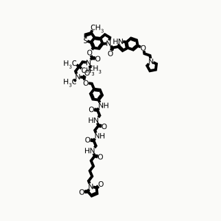 Cc1csc2c(OC(=O)N(C)CC(C)(C)CN(C)C(=O)OCc3ccc(NC(=O)CNC(=O)CNC(=O)CNC(=O)CCCCCN4C(=O)C=CC4=O)cc3)cc3c(c12)CCN3C(=O)c1cc2cc(OCCN3CCCC3)ccc2[nH]1